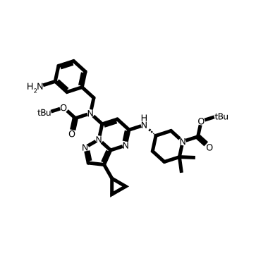 CC(C)(C)OC(=O)N(Cc1cccc(N)c1)c1cc(N[C@H]2CCC(C)(C)N(C(=O)OC(C)(C)C)C2)nc2c(C3CC3)cnn12